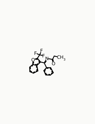 CCC(=O)N=C(c1ccccc1)c1c(C(F)(F)F)oc2ccccc12